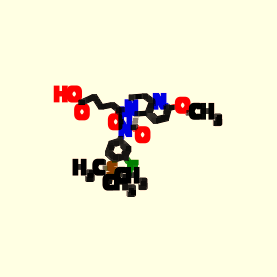 CCOc1ccc2c(n1)CCN(C(=O)CCCC(=O)O)[C@H]2C(=O)Nc1ccc(S(C)(C)C)c(F)c1